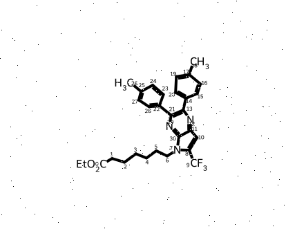 CCOC(=O)CCCCCCn1c(C(F)(F)F)cc2nc(-c3ccc(C)cc3)c(-c3ccc(C)cc3)nc21